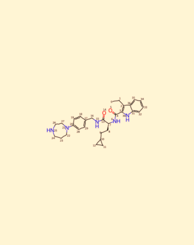 CCc1c(C(=O)N[C@@H](CCC2CC2)C(=O)NCc2ccc(N3CCCNCC3)cc2)[nH]c2ccccc12